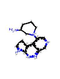 NC1CCCN(c2cncc3nnc4[nH]ccc4c23)C1